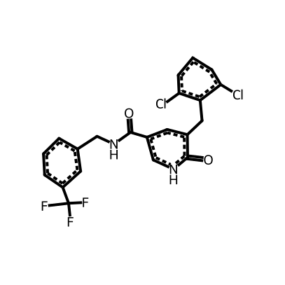 O=C(NCc1cccc(C(F)(F)F)c1)c1c[nH]c(=O)c(Cc2c(Cl)cccc2Cl)c1